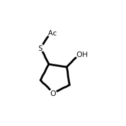 CC(=O)SC1COCC1O